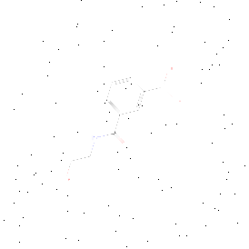 O=C(NCCO)c1cccc(B(O)O)c1